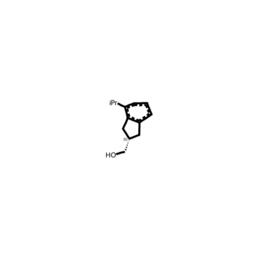 CC(C)c1cccc2c1C[C@@H](CO)C2